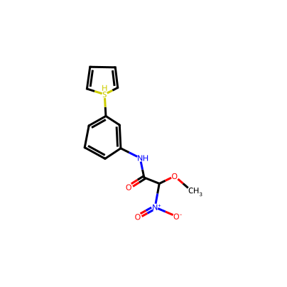 COC(C(=O)Nc1cccc([SH]2C=CC=C2)c1)[N+](=O)[O-]